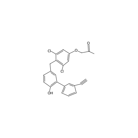 C#Cc1cccc(-c2cc(Cc3c(Cl)cc(OCC(C)=O)cc3Cl)ccc2O)c1